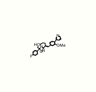 COc1cc(/C=C2\CCCN3C2=NOC3(CO)c2ccc(F)cc2)ccc1-c1cccnc1